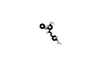 CSc1ccc(CCC(=O)c2ccc(C)nc2Nc2ccccc2)cn1